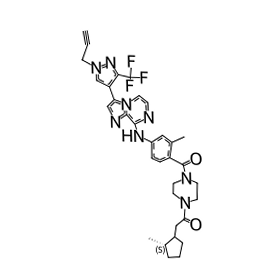 C#CCn1cc(-c2cnc3c(Nc4ccc(C(=O)N5CCN(C(=O)CC6CCC[C@@H]6C)CC5)c(C)c4)nccn23)c(C(F)(F)F)n1